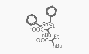 CCCCC(CC)C(=O)[O-].CCCCC(CC)C(=O)[O-].c1ccc([CH2][Sn+2][CH2]c2ccccc2)cc1